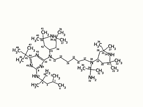 CC(C)CC(C)(C)Nc1nc(N(CCCCCCN(C2CC(C)(C)NC(C)(C)C2)C(C)(C)N)C2CC(C)(C)NC(C)(C)C2)nc(C(C)(C)C)n1